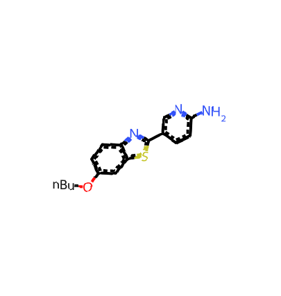 CCCCOc1ccc2nc(-c3ccc(N)nc3)sc2c1